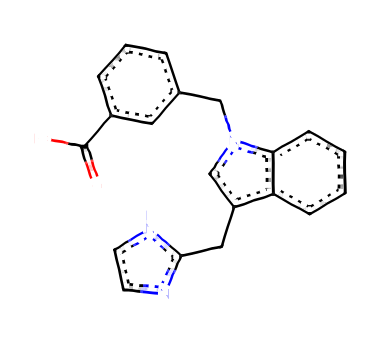 O=C(O)c1cccc(Cn2cc(Cc3ncc[nH]3)c3ccccc32)c1